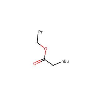 CCCCCC(=O)OCC(C)C